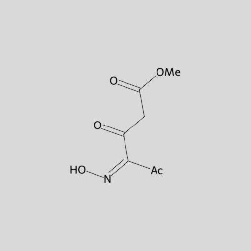 COC(=O)CC(=O)/C(=N\O)C(C)=O